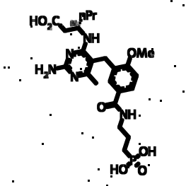 CCC[C@@H](CC(=O)O)Nc1nc(N)nc(C)c1Cc1cc(C(=O)NCCCP(=O)(O)O)ccc1OC